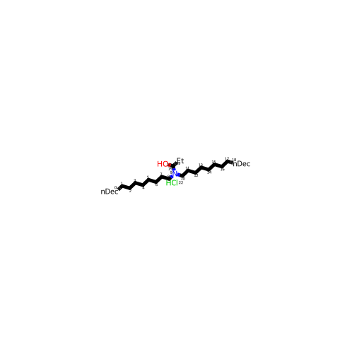 CCCCCCCCCCCCCCCCCCN(CCCCCCCCCCCCCCCCCC)C(O)CC.Cl